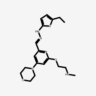 CCc1ccc(N/N=C/c2cc(N3CCOCC3)cc(OCCNC)n2)s1